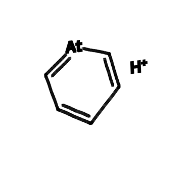 C1=CC=[At]C=C1.[H+]